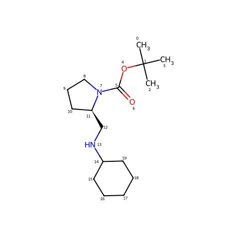 CC(C)(C)OC(=O)N1CCC[C@@H]1CNC1CCCCC1